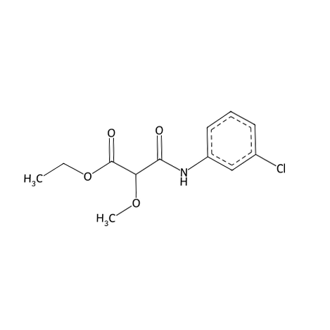 CCOC(=O)C(OC)C(=O)Nc1cccc(Cl)c1